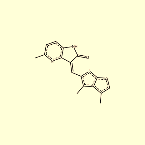 Cc1ccc2c(n1)C(=Cc1sc3scc(C)c3c1C)C(=O)N2